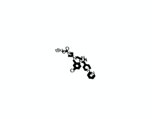 CC(C)(C)OC(=O)N1CC(N2Cc3cc(Cl)ccc3-n3c(nnc3C3CCN(c4ccccn4)CC3)C2)C1